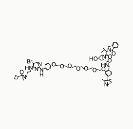 Cc1ncsc1-c1ccc(CNC(=O)[C@@H]2C[C@@H](O)CN2C(=O)C(C(C)C)N2Cc3ccccc3C2=O)c(OCCOCCOCCOCCOCCOCCOc2ccc(Nc3ncc(Br)c(NCCCN(C)C(=O)C4CCC4)n3)cc2)c1